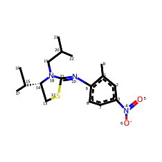 Cc1cc([N+](=O)[O-])ccc1N=C1SC[C@H](C(C)C)N1CC(C)C